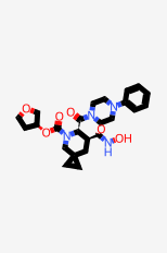 O=C(NO)[C@H]1CC2(CC2)CN(C(=O)O[C@H]2CCOC2)[C@@H]1C(=O)N1CCN(c2ccccc2)CC1